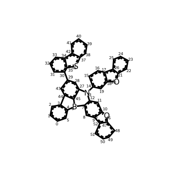 c1ccc2c(c1)B1c3cc4c(cc3N(c3ccc5c(c3)oc3ccccc35)c3cc(-c5cccc6c5sc5ccccc56)cc-2c31)oc1ccccc14